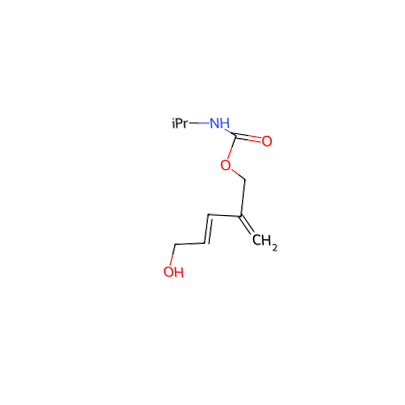 C=C(C=CCO)COC(=O)NC(C)C